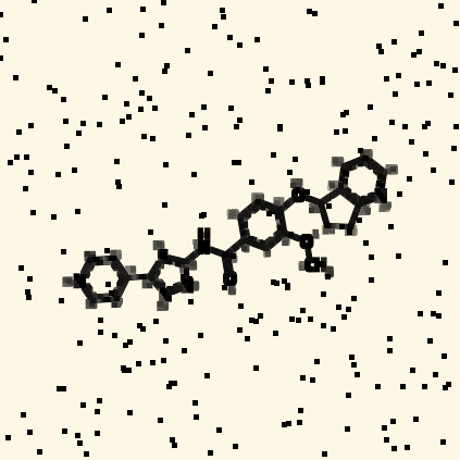 COc1cc(C(=O)Nc2nnc(-c3ccncc3)s2)ccc1OC1CCc2ncccc21